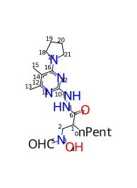 CCCCCC(CN(O)C=O)C(=O)NNc1nc(C)c(C)c(N2CCCC2)n1